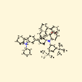 CC(C)(C)c1cc(N(c2ccc(-c3ccc4c5ccccc5n(-c5ccccc5)c4c3)cc2)c2ccccc2-c2cccc3cccc(-c4ccccc4)c23)cc(C(C)(C)C)c1